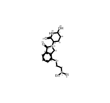 CCN(CC)CCSc1cccc2c1CN(C1CCC(O)NC1=O)C2=O